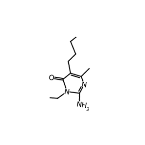 CCCCc1c(C)nc(N)n(CC)c1=O